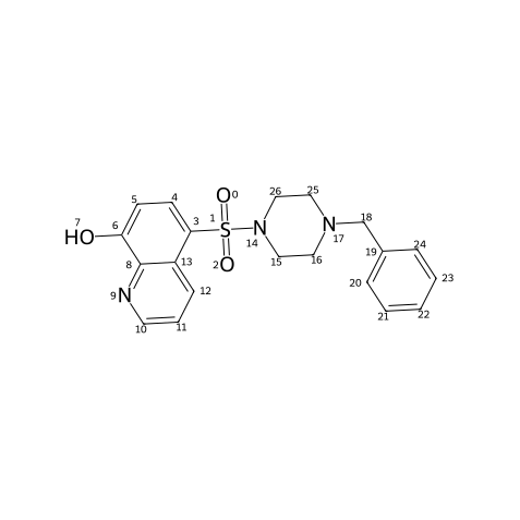 O=S(=O)(c1ccc(O)c2ncccc12)N1CCN(Cc2ccccc2)CC1